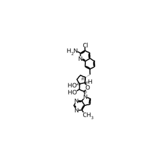 Cc1ncnc2c1ccn2[C@@H]1O[C@@H]2[C@@H](Cc3ccc4cc(Cl)c(N)nc4c3)CC[C@]2(O)C1O